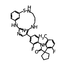 Cc1ccc(F)c(C2(C(=O)Nc3ccc(-c4cnc5nc4NCCCNSc4cccc(c4)N5)cc3F)CCCC2)c1